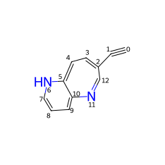 C#CC1=CC=C2NC=CC=C2N=C1